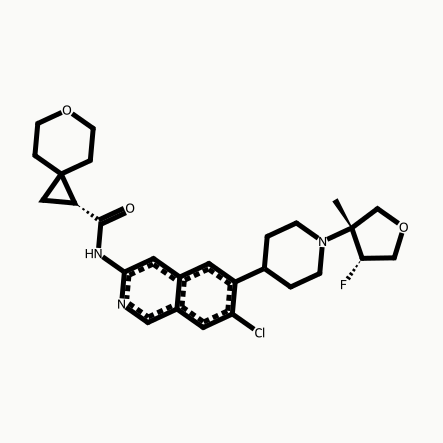 C[C@@]1(N2CCC(c3cc4cc(NC(=O)[C@@H]5CC56CCOCC6)ncc4cc3Cl)CC2)COC[C@@H]1F